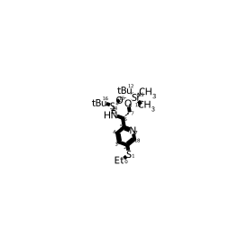 CCSc1ccc([C@@H](CO[Si](C)(C)C(C)(C)C)N[S+]([O-])C(C)(C)C)nc1